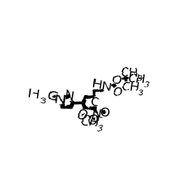 COc1c(-c2ccn(C)n2)cc(CCNC(=O)OC(C)(C)C)cc1[N+](=O)[O-]